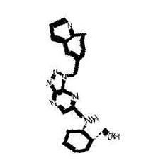 OC[C@@H]1CC=CC[C@@H]1Nc1cnc2nnn(Cc3ccc4ncccc4c3)c2n1